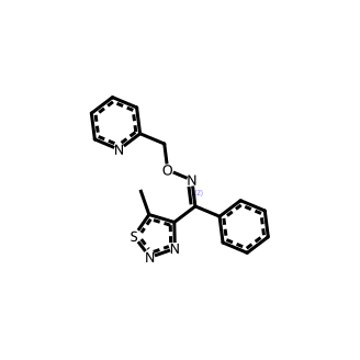 Cc1snnc1/C(=N\OCc1ccccn1)c1ccccc1